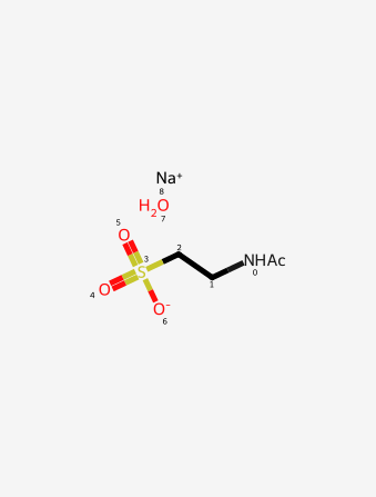 CC(=O)NCCS(=O)(=O)[O-].O.[Na+]